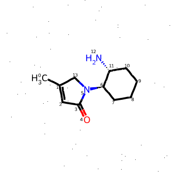 CC1=CC(=O)N([C@@H]2CCCC[C@H]2N)C1